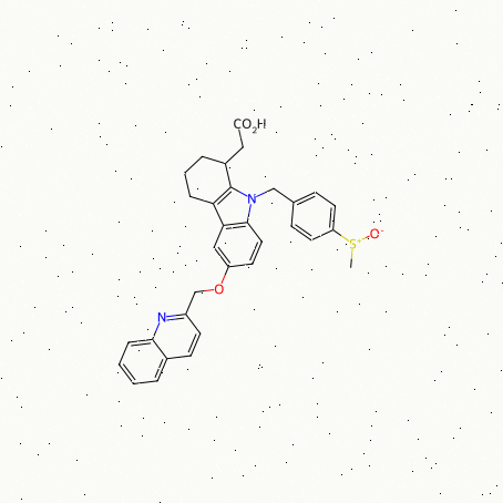 C[S+]([O-])c1ccc(Cn2c3c(c4cc(OCc5ccc6ccccc6n5)ccc42)CCCC3CC(=O)O)cc1